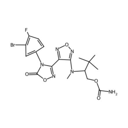 CN(c1nonc1-c1noc(=O)n1-c1ccc(F)c(Br)c1)C(COC(N)=O)C(C)(C)C